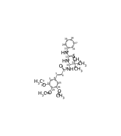 COc1cc(C=CC(=O)NC(NC(=S)Nc2ccccc2)C(C)(C)C)cc(OC)c1OC